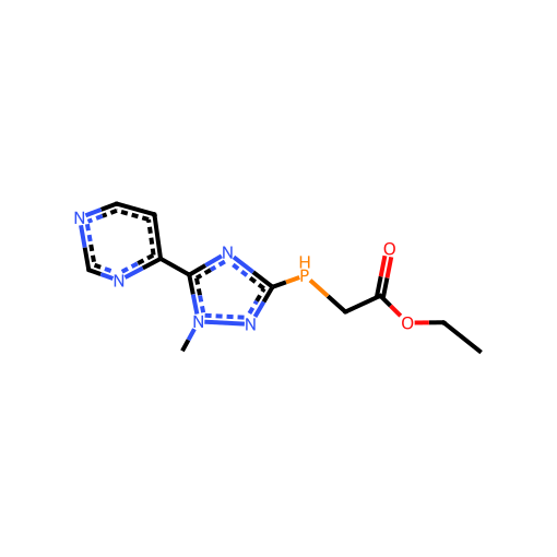 CCOC(=O)CPc1nc(-c2ccncn2)n(C)n1